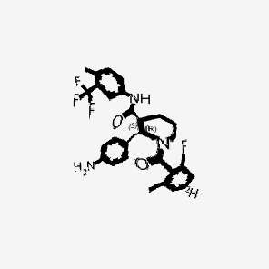 [2H]c1cc(C)c(C(=O)N2CCC[C@H](C(=O)Nc3ccc(C)c(C(F)(F)F)c3)[C@@H]2c2ccc(N)cc2)c(F)c1